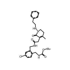 CC1=C(CC(=O)NCc2cc(Cl)ccc2CNC(=O)OC(C)(C)C)C(=O)N(NCCc2ccccc2)CC1